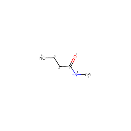 [CH2]CCNC(=O)CCC#N